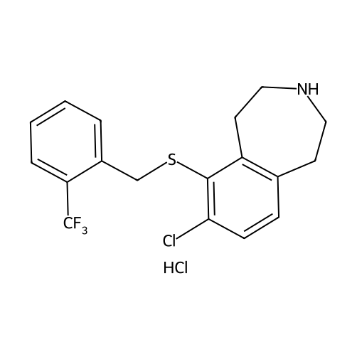 Cl.FC(F)(F)c1ccccc1CSc1c(Cl)ccc2c1CCNCC2